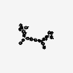 Cc1ccc(N(c2ccc3c(c2)C(C)(C)c2cc(N(c4ccc(-c5ccccc5)cc4)c4ccc(-c5ccc(-c6ccc(-c7ccc(N(c8ccc(-c9ccccc9)cc8)c8ccc9c(c8)C(C)(C)c8cc(N(c%10ccc(C)cc%10)c%10cc%11ccccc%11c%11ccccc%10%11)ccc8-9)cc7)cc6)cc5)cc4)ccc2-3)c2cccc3ccccc23)cc1